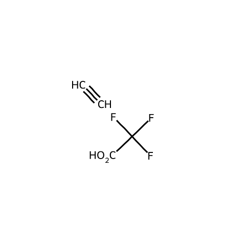 C#C.O=C(O)C(F)(F)F